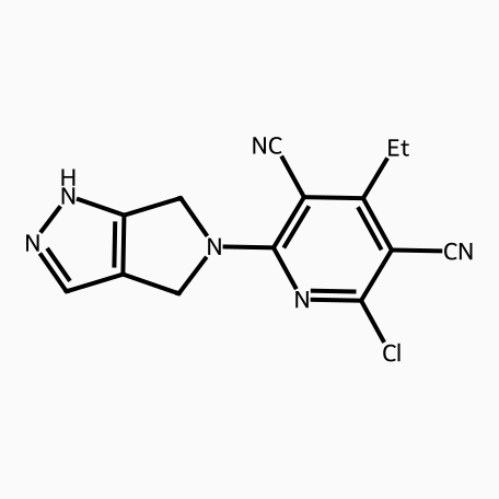 CCc1c(C#N)c(Cl)nc(N2Cc3cn[nH]c3C2)c1C#N